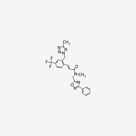 Cc1nnn(Cc2cc(C(F)(F)F)ccc2C=CC(=O)N(C)Cc2nc(-c3ccccc3)no2)n1